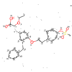 CCO[C@H](Cc1ccc(OCCc2ccc(OS(C)(=O)=O)cc2)c(Cc2ccccc2)c1)C(=O)O